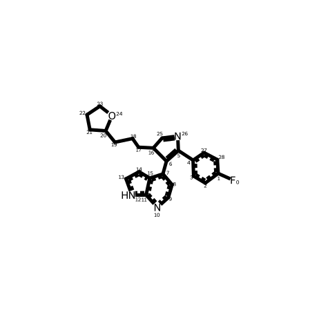 Fc1ccc(C2=C(c3ccnc4[nH]ccc34)C(CCCC3CCCO3)C=N2)cc1